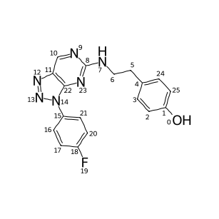 Oc1ccc(CCNc2ncc3nnn(-c4ccc(F)cc4)c3n2)cc1